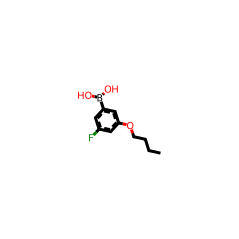 CCCCOc1cc(F)cc(B(O)O)c1